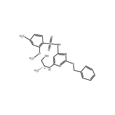 COc1cc(C)ccc1S(=O)(=O)Nc1cc(N[C@H](C)CO)nc(SCc2ccccc2)n1